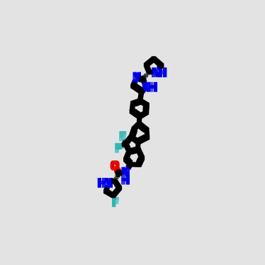 O=C(Nc1ccc2c(c1)C(F)(F)c1cc(-c3ccc(-c4cnc([C@@H]5CCCN5)[nH]4)cc3)ccc1-2)[C@@H]1C[C@H](F)CN1